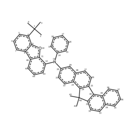 CC(C)(C)c1cccc2c1oc1c(N(c3ccccc3)c3ccc4c5c(ccc4c3)-c3c(ccc4ccccc34)C5(C)C)cccc12